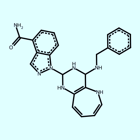 NC(=O)c1cccc2c1cnn2C1NC2=C(NC=CC=C2)C(NCc2ccccc2)N1